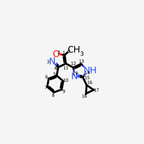 Cc1onc(-c2ccccc2)c1-c1c[nH]c(C2CC2)n1